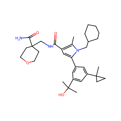 Cc1c(C(=O)NCC2(C(N)=O)CCOCC2)cc(-c2cc(C(C)(C)O)cc(C3(C)CC3)c2)n1CC1CCCCC1